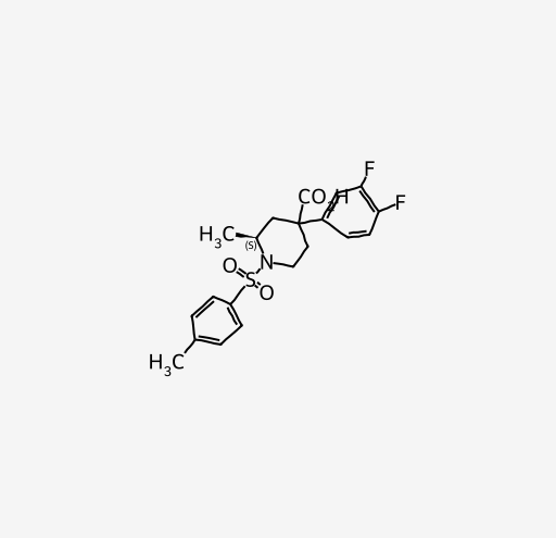 Cc1ccc(S(=O)(=O)N2CCC(C(=O)O)(c3ccc(F)c(F)c3)C[C@@H]2C)cc1